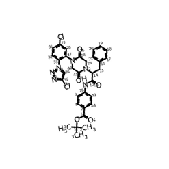 CC(C)(C)OC(=O)c1ccc(NC(=O)C(Cc2ccccc2)N2CC(=O)N(c3cc(Cl)ccc3-n3cc(Cl)nn3)CC2=O)cc1